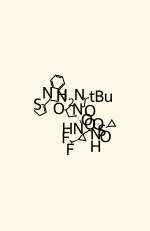 CC(C)(C)[C@H](N)C(=O)N1C[C@H](Oc2nc3ccccc3nc2C2=CCCS2)C[C@H]1C(=O)N[C@]1(C(=O)NS(=O)(=O)C2CC2)C[C@H]1C(F)F